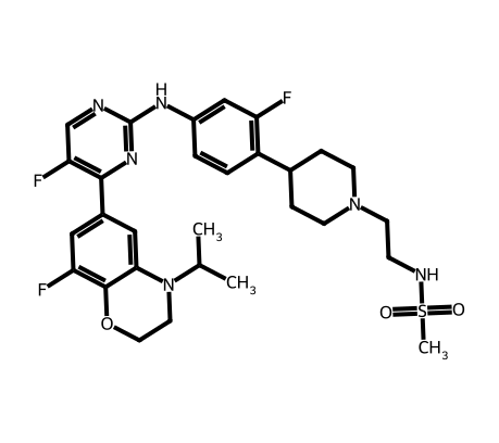 CC(C)N1CCOc2c(F)cc(-c3nc(Nc4ccc(C5CCN(CCNS(C)(=O)=O)CC5)c(F)c4)ncc3F)cc21